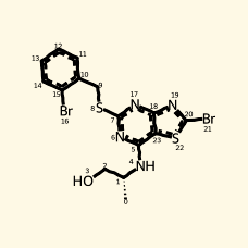 C[C@H](CO)Nc1nc(SCc2ccccc2Br)nc2nc(Br)sc12